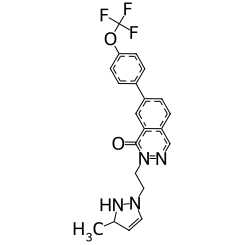 CC1C=CN(CCn2ncc3ccc(-c4ccc(OC(F)(F)F)cc4)cc3c2=O)N1